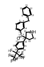 [O-][S+](c1cccc(Cc2ccccc2)c1)C1(c2ccc(C(F)(C(F)(F)F)C(F)(F)F)cc2)CCNC1